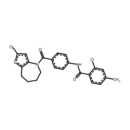 Cc1ccc(C(=O)Nc2ccc(C(=O)N3CCCCc4sc(Cl)cc43)cc2)c(Cl)c1